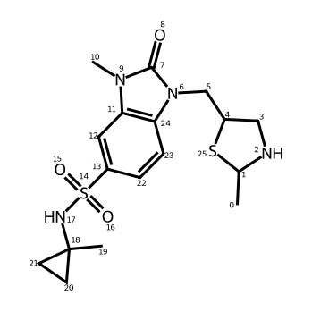 CC1NCC(Cn2c(=O)n(C)c3cc(S(=O)(=O)NC4(C)CC4)ccc32)S1